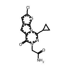 NC(=O)Cn1nc(C2CC2)n2c(cc3cc(Cl)sc32)c1=O